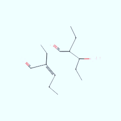 CCC(O)C(C=O)CC.CCC=C(C=O)CC